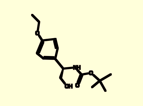 CCOc1ccc([C@H](CO)NC(=O)OC(C)(C)C)cc1